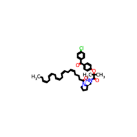 CC/C=C\C/C=C\C/C=C\C/C=C\C/C=C\CCCC(=O)N1CCC[C@@H]1CNC(=O)C(C)(C)Oc1ccc(C(=O)c2ccc(Cl)cc2)cc1